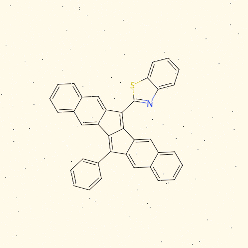 c1ccc(C2=C3C(=C(c4nc5ccccc5s4)c4cc5ccccc5cc43)c3cc4ccccc4cc32)cc1